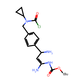 CC(C)(C)OC(=O)N/C(N)=C\C(N)c1ccc(CN(C(=O)Cl)C2CC2)cc1